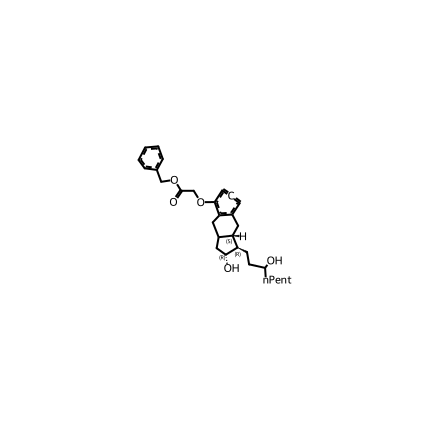 CCCCCC(O)CC[C@H]1[C@H](O)CC2Cc3c(cccc3OCC(=O)OCc3ccccc3)C[C@@H]21